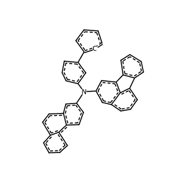 c1ccc(-c2cccc(N(c3cc4c5c(cccc5c3)-c3ccccc3-4)c3ccc4c(ccc5ccccc54)c3)c2)cc1